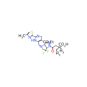 CCOC(=O)C1=C(CN2CC(F)(F)C3C2C=NN3C(=O)CC(C)(C)C(=O)O)NC(c2nc(C)cs2)=NC1